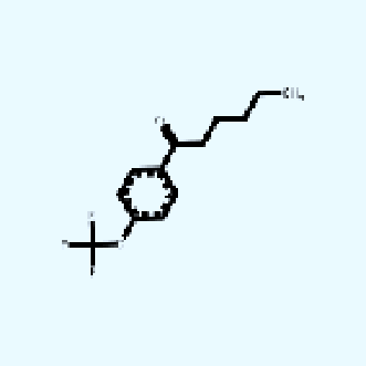 CCCCCC(=O)c1ccc(OC(F)(F)F)cc1